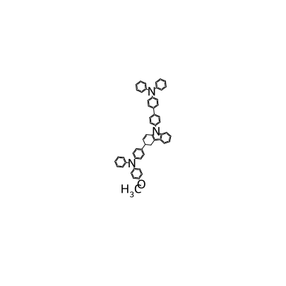 COc1ccc(N(c2ccccc2)c2ccc(C3C=Cc4c(c5ccccc5n4-c4ccc(-c5ccc(N(c6ccccc6)c6ccccc6)cc5)cc4)C3)cc2)cc1